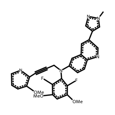 COc1cccnc1C#CCN(c1ccc2ncc(-c3cnn(C)c3)cc2c1)c1c(F)c(OC)cc(OC)c1F